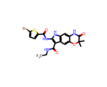 CC1(C)Oc2cc3c(C(=O)NCC(F)(F)F)c(NC(=O)c4ccc(Br)s4)[nH]c3cc2NC1=O